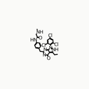 CCc1[nH]n(-c2c(Cl)cc(Cl)cc2Cl)c2nc(Cc3ccc(NC(=O)CNC)cc3)nc(=O)c1-2